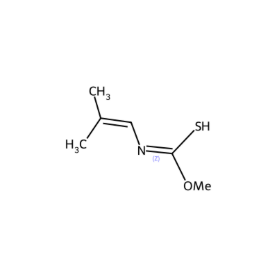 CO/C(S)=N/C=C(C)C